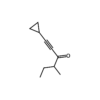 CCC(C)C(=O)C#CC1CC1